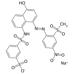 CS(=O)(=O)c1cc([N+](=O)[O-])ccc1/N=N/c1ccc(O)c2cccc(NS(=O)(=O)c3cccc(S(=O)(=O)[O-])c3)c12.[Na+]